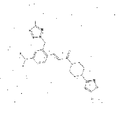 Cc1nnn(Cc2cc(C(F)F)ccc2/C=C/C(=O)N2CCC(c3noc(C)n3)CC2)n1